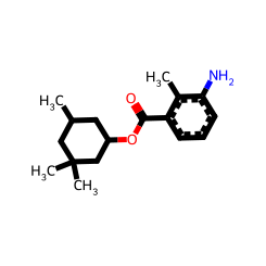 Cc1c(N)cccc1C(=O)OC1CC(C)CC(C)(C)C1